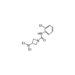 CCc1ccccc1NC(=O)N1CC(N(CC)CC)C1